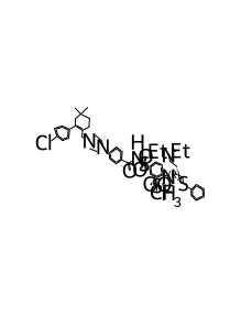 CCN(CC)CC[C@H](CSc1ccccc1)Nc1ccc(S(=O)(=O)NC(=O)c2ccc(N3CCN(CC4=C(c5ccc(Cl)cc5)CC(C)(C)CC4)CC3)cc2)cc1S(=O)(=O)C(F)(F)F